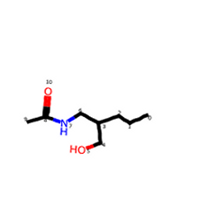 CCCC(CO)CNC(C)=O